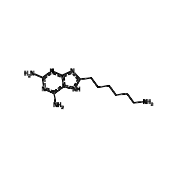 NCCCCCCc1nc2nc(N)nc(N)c2[nH]1